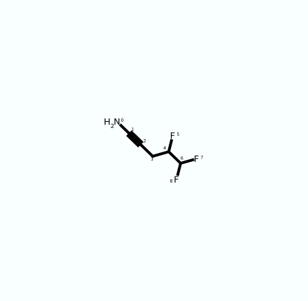 NC#CCC(F)C(F)F